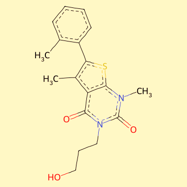 Cc1ccccc1-c1sc2c(c1C)c(=O)n(CCCO)c(=O)n2C